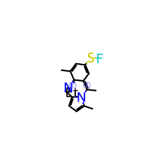 CC/N=C1/C(C)=CC(SF)=C/C1=C(\C)n1c(C)ccc1C